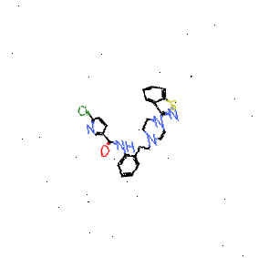 O=C(Nc1ccccc1CCN1CCN(c2nsc3ccccc23)CC1)c1ccc(Cl)nc1